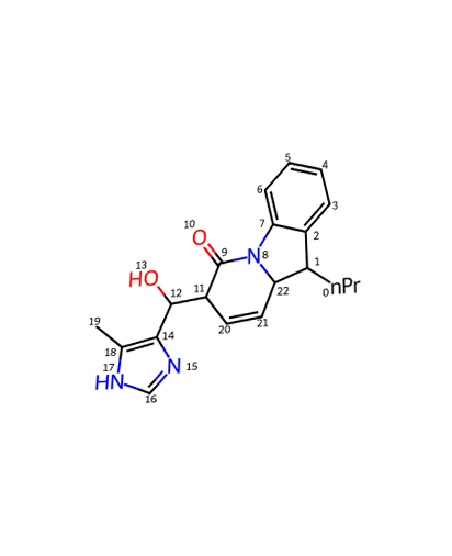 CCCC1c2ccccc2N2C(=O)C(C(O)c3nc[nH]c3C)C=CC12